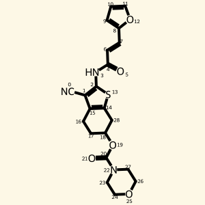 N#Cc1c(NC(=O)C=Cc2ccco2)sc2c1CCC(OC(=O)N1CCOCC1)C2